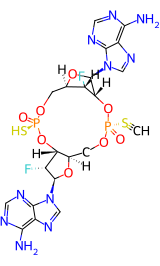 C#S[P@]1(=O)OC[C@H]2O[C@@H](n3cnc4c(N)ncnc43)[C@H](F)[C@@H]2O[P@@](=O)(S)OC[C@H]2O[C@@H](n3cnc4c(N)ncnc43)[C@H](O1)[C@H]2F